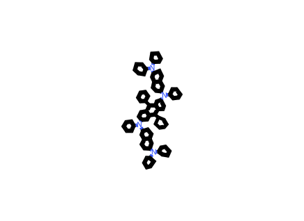 C1=CCC(c2c3ccc(N(c4ccccc4)c4ccc5cc(N(c6ccccc6)c6ccccc6)ccc5c4)cc3c(-c3ccccc3)c3ccc(N(c4ccccc4)c4ccc5cc(N(c6ccccc6)c6ccccc6)ccc5c4)cc23)C=C1